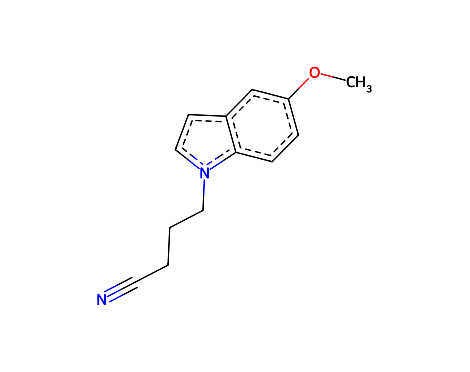 COc1ccc2c(ccn2CCCC#N)c1